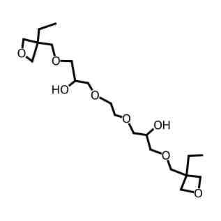 CCC1(COCC(O)COCCOCC(O)COCC2(CC)COC2)COC1